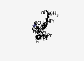 CCCN(C)CCC[C@@H](C(C)C)N1CC2(CCN(c3ncnnc3Oc3ccc(F)cc3C(=O)N(CC)C(C)C)C2)C1.O=C(O)/C=C/C(=O)O